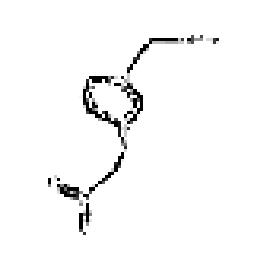 CCCCCCCn1cc[n+](C[SH](=O)=O)c1